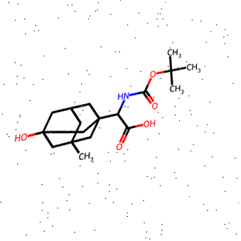 CC12CC3CC(O)(C1)CC(C(NC(=O)OC(C)(C)C)C(=O)O)(C3)C2